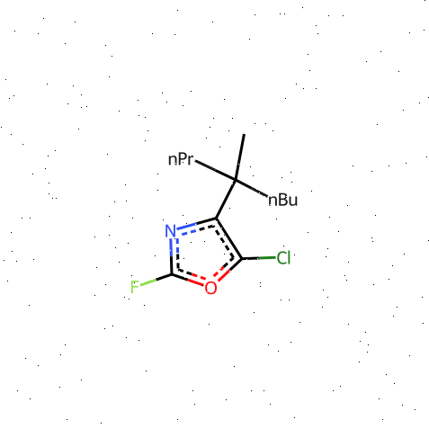 CCCCC(C)(CCC)c1nc(F)oc1Cl